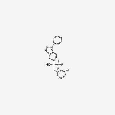 OC(Cc1cccc(F)c1)(c1ccc2c(cnn2-c2ccccc2)c1)C(F)(F)F